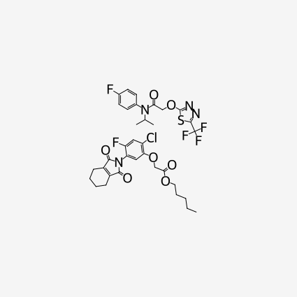 CC(C)N(C(=O)COc1nnc(C(F)(F)F)s1)c1ccc(F)cc1.CCCCCOC(=O)COc1cc(N2C(=O)C3=C(CCCC3)C2=O)c(F)cc1Cl